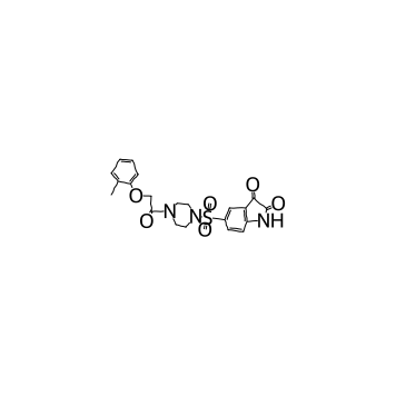 Cc1ccccc1OCC(=O)N1CCN(S(=O)(=O)c2ccc3c(c2)C(=O)C(=O)N3)CC1